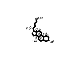 CC(=O)NCCC[C@@H](C)[C@H]1CC[C@H]2[C@@H]3[C@@H](O)CC4C[C@H](O)CC[C@]4(C)[C@H]3CC[C@]12C